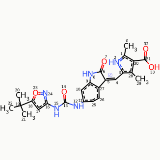 Cc1[nH]c(/C=C2\C(=O)Nc3cc(NC(=O)Nc4cc(C(C)(C)C)on4)ccc32)c(C)c1C(=O)O